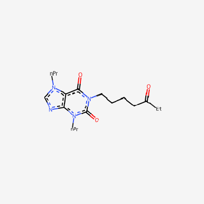 CCCn1cnc2c1c(=O)n(CCCCC(=O)CC)c(=O)n2CCC